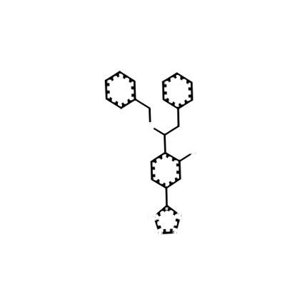 Brc1cc(-c2nnn[nH]2)ccc1C(Cc1ccccc1)OCc1ccccc1